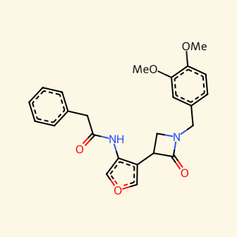 COc1ccc(CN2CC(c3cocc3NC(=O)Cc3ccccc3)C2=O)cc1OC